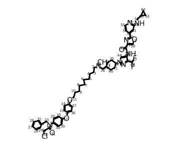 CN(CCCCCCCCCCOc1ccc(Oc2ccc(N(Cc3ccccc3)C(=O)CCl)cc2)cc1)CC1CCC(n2cc(NC(=O)c3coc(-c4ccnc(NCC5CC5)c4)n3)c(C(F)F)n2)CC1